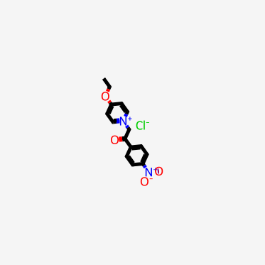 CCOc1cc[n+](CC(=O)c2ccc([N+](=O)[O-])cc2)cc1.[Cl-]